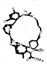 COC(=O)[C@@H](OC(C)(C)C)c1c(C)cc2nc3cn2c1N1CCC(C)(CC1)OC/C=C/C[C@H](C)Oc1cc(F)cc(F)c1-c1cccc-3c1